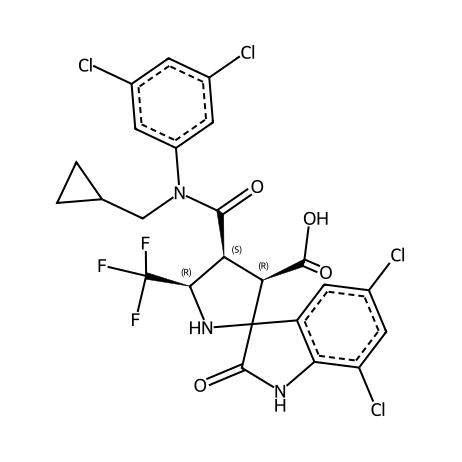 O=C(O)[C@@H]1[C@H](C(=O)N(CC2CC2)c2cc(Cl)cc(Cl)c2)[C@H](C(F)(F)F)NC12C(=O)Nc1c(Cl)cc(Cl)cc12